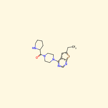 O=C(C1CCCCN1)N1CCN(c2ncnc3sc(CC(F)(F)F)cc23)CC1